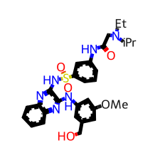 CCN(CC(=O)Nc1cccc(S(=O)(=O)Nc2nc3ccccc3nc2Nc2cc(CO)cc(OC)c2)c1)C(C)C